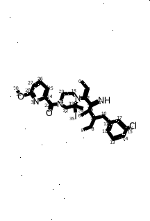 CC=C(C(=N)C(C)C(CC)Cc1cccc(Cl)c1)N1CCN(C(=O)c2cccc(OC)n2)CC1(C)I